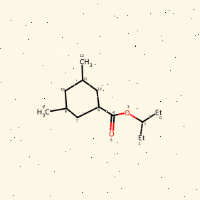 CCC(CC)OC(=O)C1CC(C)CC(C)C1